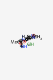 COc1ccc(NC(=O)c2ccc(-c3ccc(-c4noc(C)n4)cc3C)cc2)cc1OCC1CCN1.Cl